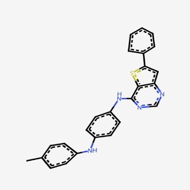 Cc1ccc(Nc2ccc(Nc3ncnc4cc(-c5ccccc5)sc34)cc2)cc1